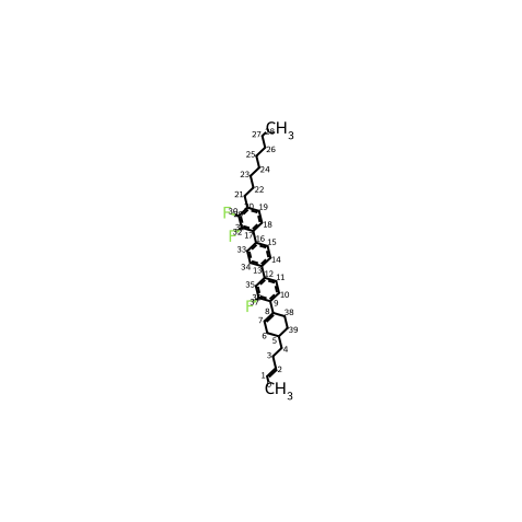 C/C=C/CCC1CC=C(c2ccc(-c3ccc(-c4ccc(CCCCCCCC)c(F)c4F)cc3)cc2F)CC1